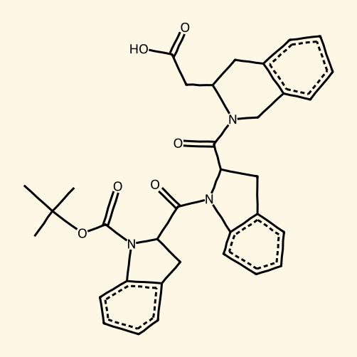 CC(C)(C)OC(=O)N1c2ccccc2CC1C(=O)N1c2ccccc2CC1C(=O)N1Cc2ccccc2CC1CC(=O)O